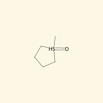 C[SH]1(=O)CCCC1